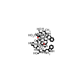 C[C@H](NC(=O)[C@H](CO)NC(=O)CNC(=O)CNC(=O)[C@H](Cc1c[nH]cn1)NC(=O)[C@H](CO)NC(=O)[C@@H](N)Cc1c[nH]c2ccccc12)C(=O)N[C@@H](Cc1ccccc1)C(=O)N[C@@H](Cc1c[nH]cn1)C(=O)N1CCC[C@H]1C(=O)N[C@@H](CCC(=O)O)C(=O)O